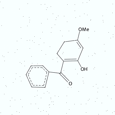 COC1=CC(O)=C(C(=O)c2ccccc2)CC1